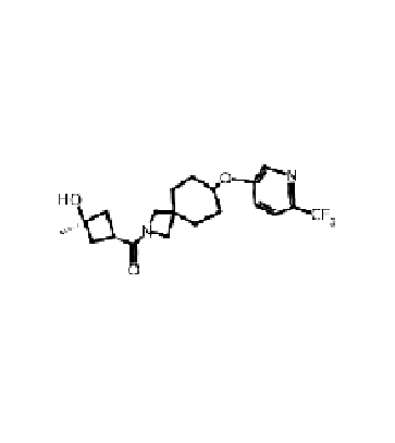 C[C@]1(O)C[C@@H](C(=O)N2CC3(CCC(Oc4ccc(C(F)(F)F)nc4)CC3)C2)C1